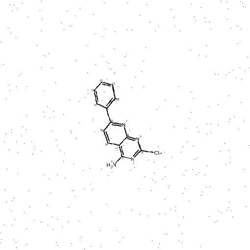 Nc1nc(Cl)nc2nc(-c3ccccc3)ccc12